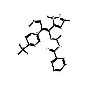 C/N=C\C(=C(\OC(C)OC(=O)c1ccccc1)c1cc(C)nn1C)c1ccc(C(C)(C)C)cc1